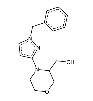 OCC1COCCN1c1ccn(Cc2ccccc2)n1